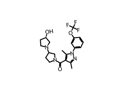 Cc1nn(-c2cccc(OC(F)(F)F)c2)c(C)c1C(=O)N1CCC(N2CC[C@@H](O)C2)C1